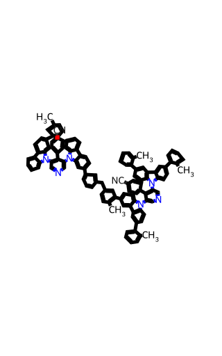 Cc1cccc(-c2ccc3c4ccccc4n(-c4cncc(-n5c6ccccc6c6ccc(-c7cccc(Cc8ccc(C)c(-c9ccc%10c(c9)c9cc(-c%11ccccc%11C)ccc9n%10-c9cncc(-n%10c%11ccc(-c%12ccccc%12C)cc%11c%11cc(-c%12ccccc%12C)ccc%11%10)c9-c9ccc(C#N)cc9)c8)c7)cc65)c4-c4ccc(C#N)cc4)c3c2)c1